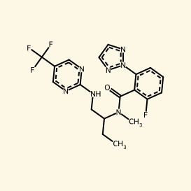 CCC(CNc1ncc(C(F)(F)F)cn1)N(C)C(=O)c1c(F)cccc1-n1nccn1